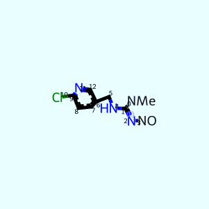 CN/C(=N\N=O)NCc1ccc(Cl)nc1